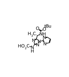 C[C@H](NC(=O)OC(C)(C)C)c1nc(NC(=O)O)nn1-c1ncccn1